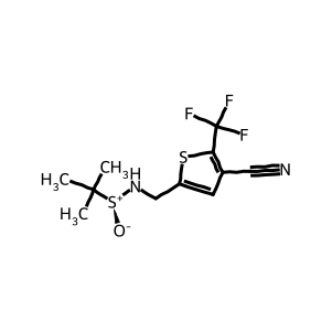 CC(C)(C)[S@+]([O-])NCc1cc(C#N)c(C(F)(F)F)s1